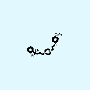 COc1ccc(OCCN2CCN(CCCC(C#N)(c3ccccc3)C(C)C)CC2)cc1